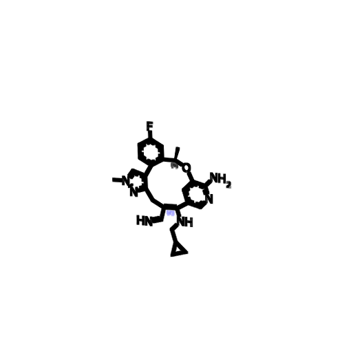 C[C@H]1Oc2cc(cnc2N)/C(NCC2CC2)=C(/C=N)Cc2nn(C)cc2-c2ccc(F)cc21